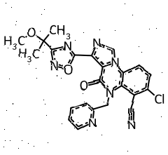 COC(C)(C)c1noc(-c2ncn3c2c(=O)n(Cc2ccccn2)c2c(C#N)c(Cl)ccc23)n1